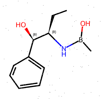 CC[C@@H](NB(C)O)[C@H](O)c1ccccc1